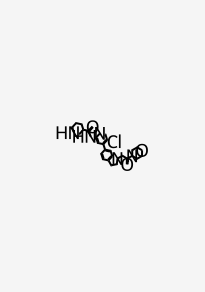 O=C(Nc1cc(-c2ccc3c(c2)N(CC(=O)N2CCOCC2)CC3)c(Cl)cn1)C1CCCNC1